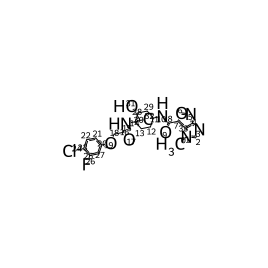 Cn1cnc2noc(C(=O)NC34CCC(NC(=O)COc5ccc(Cl)c(F)c5)(CC3)C(O)C4)c21